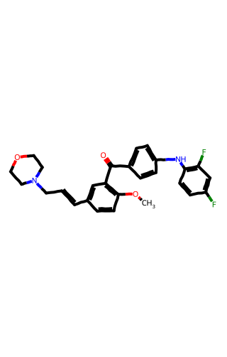 COc1ccc(/C=C/CN2CCOCC2)cc1C(=O)c1ccc(Nc2ccc(F)cc2F)cc1